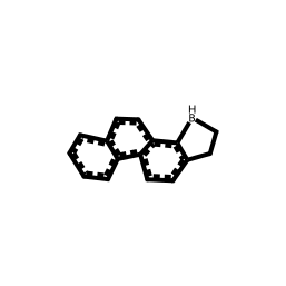 B1CCc2ccc3c(ccc4ccccc43)c21